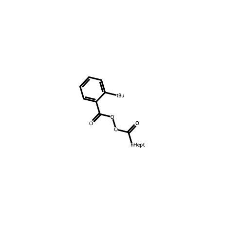 CCCCCCCC(=O)OOC(=O)c1ccccc1C(C)(C)C